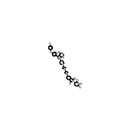 Nc1ncnc2c1c(-c1ccc(Oc3ccc(F)cc3)cc1)nn2C1CCN(C2CN(C3CN(c4ccc5c(c4)C(=O)N(C4CCC(=O)NC4=O)C5=O)C3)C2)CC1